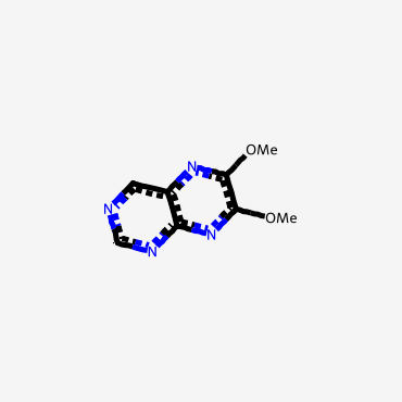 COc1nc2cn[c]nc2nc1OC